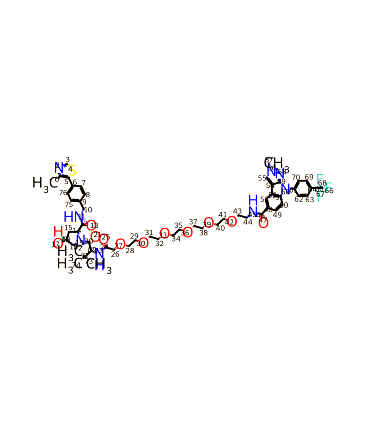 Cc1ncsc1-c1ccc(CNC(=O)C2C[C@@H](O)CN2C(=O)[C@H](NC(=O)COCCOCCOCCOCCOCCOCCNC(=O)c2ccc3c(c2)c2cn(C)nc2n3-c2ccc(C(F)(F)F)cc2)C(C)(C)C)cc1